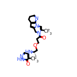 C[C@@H](COCCC(=O)N1Cc2cc3c(n2C=C1C(F)(F)F)N=CCC3)Nc1cn[nH]c(=O)c1C(F)(F)F